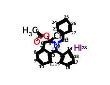 CC(=O)OC1(C)Cc2ccccc2C(c2ccccc2)N1Cc1ccccc1.I